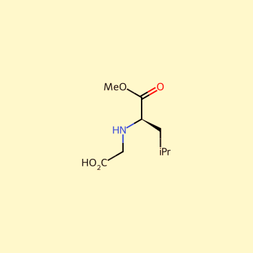 COC(=O)[C@@H](CC(C)C)NCC(=O)O